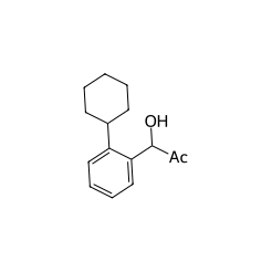 CC(=O)C(O)c1ccccc1C1CCCCC1